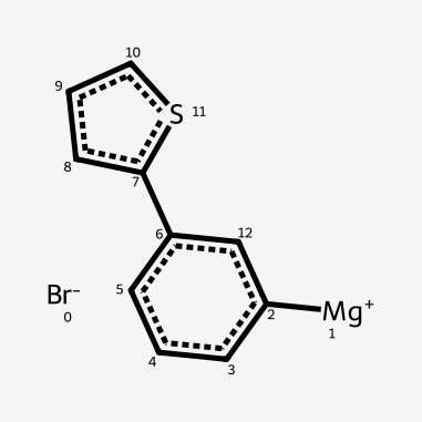 [Br-].[Mg+][c]1cccc(-c2cccs2)c1